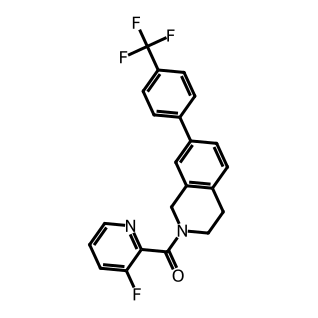 O=C(c1ncccc1F)N1CCc2ccc(-c3ccc(C(F)(F)F)cc3)cc2C1